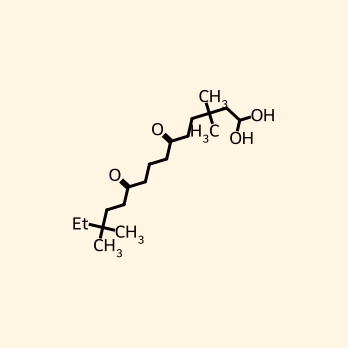 CCC(C)(C)CCC(=O)CCCC(=O)CCC(C)(C)CC(O)O